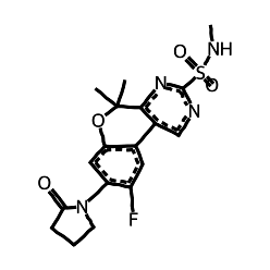 CNS(=O)(=O)c1ncc2c(n1)C(C)(C)Oc1cc(N3CCCC3=O)c(F)cc1-2